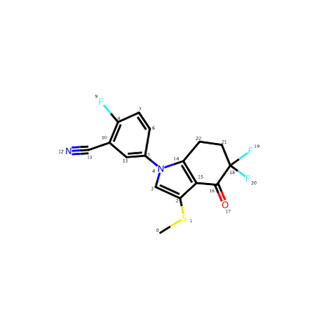 CSc1cn(-c2ccc(F)c(C#N)c2)c2c1C(=O)C(F)(F)CC2